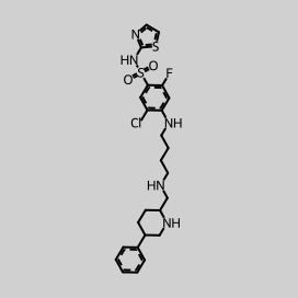 O=S(=O)(Nc1nccs1)c1cc(Cl)c(NCCCCNCC2CCC(c3ccccc3)CN2)cc1F